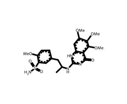 COc1ccc(CC(C)Nc2nc(=O)c3c(OC)c(OC)c(OC)cc3[nH]2)cc1S(N)(=O)=O